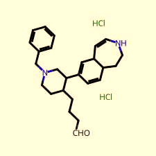 Cl.Cl.O=CCCCC1CCN(Cc2ccccc2)CC1C1=CC2C=CNCCC2C=C1